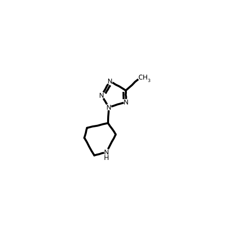 Cc1nnn(C2CCCNC2)n1